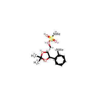 CNc1ccccc1C1OC(C)(C)O[C@@H]1COS(=O)(=O)NC